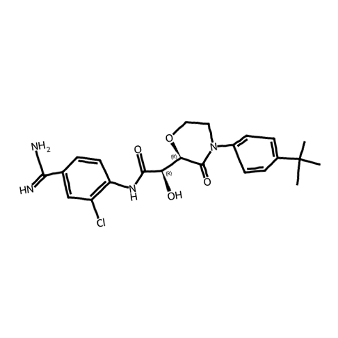 CC(C)(C)c1ccc(N2CCO[C@H]([C@@H](O)C(=O)Nc3ccc(C(=N)N)cc3Cl)C2=O)cc1